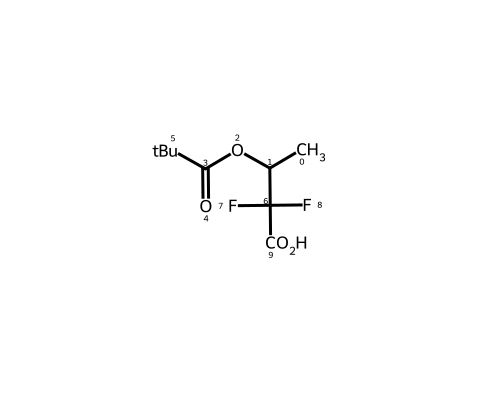 CC(OC(=O)C(C)(C)C)C(F)(F)C(=O)O